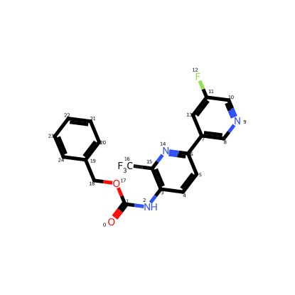 O=C(Nc1ccc(-c2cncc(F)c2)nc1C(F)(F)F)OCc1ccccc1